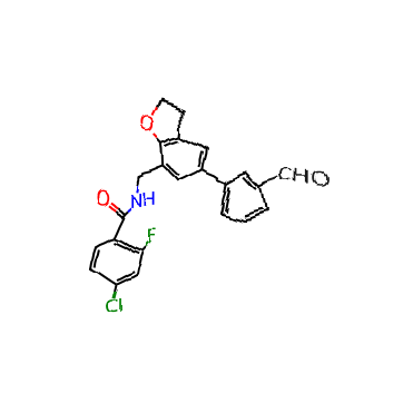 O=Cc1cccc(-c2cc3c(c(CNC(=O)c4ccc(Cl)cc4F)c2)OCC3)c1